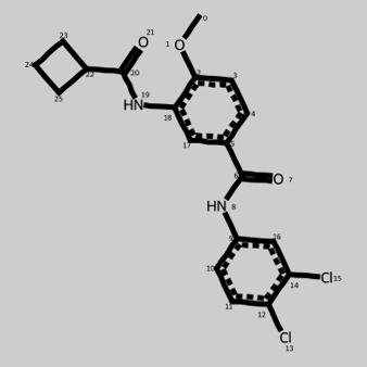 COc1ccc(C(=O)Nc2ccc(Cl)c(Cl)c2)cc1NC(=O)C1CCC1